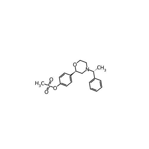 C[C@H](c1ccccc1)N1CCO[C@H](c2ccc(OS(C)(=O)=O)cc2)C1